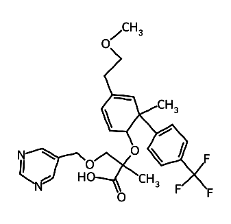 COCCC1=CC(C)(c2ccc(C(F)(F)F)cc2)C(OC(C)(COCc2cncnc2)C(=O)O)C=C1